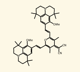 COc1c(C=CC2=C(C)C(=C(C#N)C#N)C(C)=C(C=Cc3cc4c5c(c3OC)C(C)(C)CCN5CCC4(C)C)O2)cc2c3c1C(C)(C)CCN3CCC2(C)C